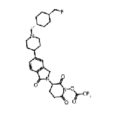 O=C1CCC(N2Cc3cc(C4CCN(C[C@H]5CC[C@H](CF)CC5)CC4)ccc3C2=O)C(=O)N1OC(=O)C(F)(F)F